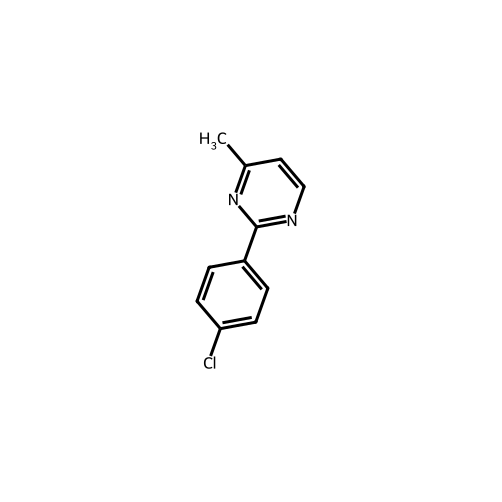 Cc1ccnc(-c2ccc(Cl)cc2)n1